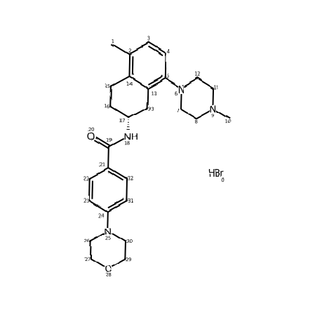 Br.Cc1ccc(N2CCN(C)CC2)c2c1CC[C@@H](NC(=O)c1ccc(N3CCOCC3)cc1)C2